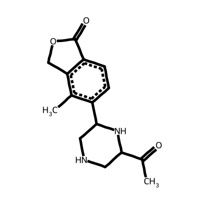 CC(=O)C1CNCC(c2ccc3c(c2C)COC3=O)N1